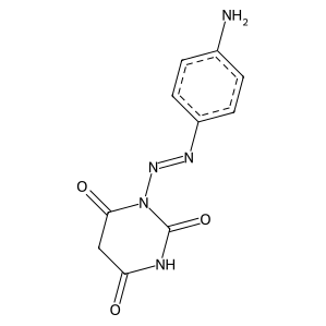 Nc1ccc(N=NN2C(=O)CC(=O)NC2=O)cc1